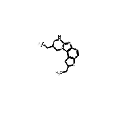 CCC1CNc2nc3ccc4c(c3n2C1)CC(CC)O4